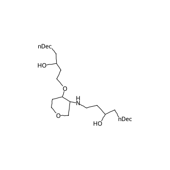 CCCCCCCCCCCC(O)CCNC1COCCC1OCCC(O)CCCCCCCCCCC